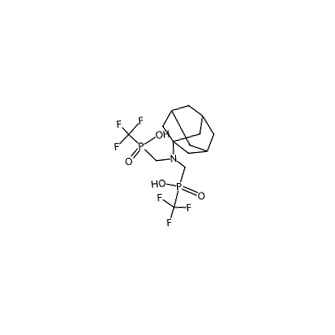 O=P(O)(CN(CP(=O)(O)C(F)(F)F)C12CC3CC(CC(C3)C1)C2)C(F)(F)F